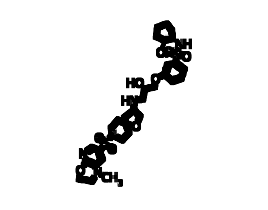 CN1CCOc2ncc(S(=O)(=O)N3CCC4(CC3)CC(NCC(O)COc3cccc(S(=O)(=O)N[C@H]5CCCC[C@@H]5O)c3)CO4)cc21